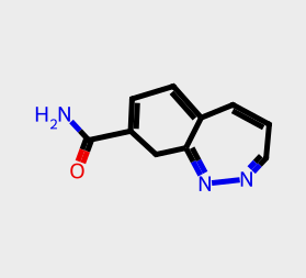 NC(=O)C1=CC=C2C=CC=NN=C2C1